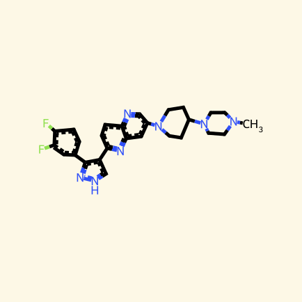 CN1CCN(C2CCN(c3cnc4ccc(-c5c[nH]nc5-c5ccc(F)c(F)c5)nc4c3)CC2)CC1